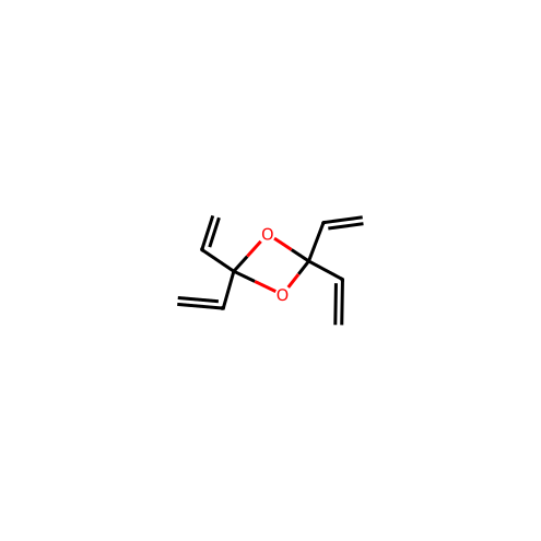 C=CC1(C=C)OC(C=C)(C=C)O1